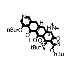 CCCCOc1cncc2c1C(=O)C1=C(O)[C@]3(O[Si](C)(C)C(C)(C)C)C(=O)c4c(OCCCC)noc4[C@@H](N(C)C)[C@@H]3C[C@@H]1C2